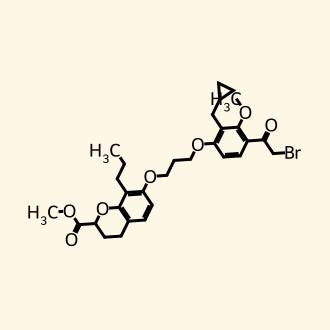 CCCc1c(OCCCOc2ccc(C(=O)CBr)c(OC)c2CC2CC2)ccc2c1OC(C(=O)OC)CC2